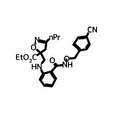 CCCC1=NOC(CNc2ccccc2C(=O)NOCc2ccc(C#N)cc2)(C(=O)OCC)C1